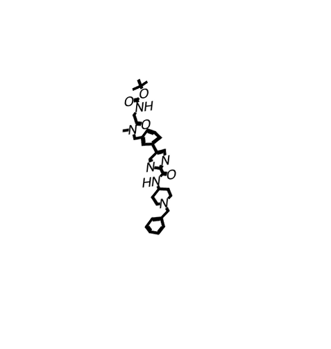 CN(Cc1cccc(-c2cnc(C(=O)NC3CCN(Cc4ccccc4)CC3)nc2)c1)C(=O)CNC(=O)OC(C)(C)C